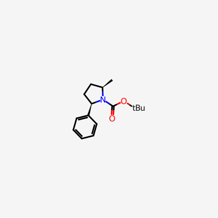 C[C@@H]1CC[C@H](c2ccccc2)N1C(=O)OC(C)(C)C